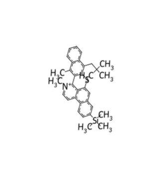 Cc1c2c(c(CC(C)(C)C)c3ccccc13)Sc1cc3cc([Si](C)(C)C)ccc3c3cc[n+](C)c-2c13